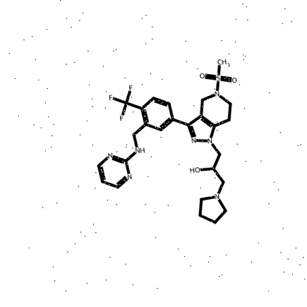 CS(=O)(=O)N1CCc2c(c(-c3ccc(C(F)(F)F)c(CNc4ncccn4)c3)nn2CC(O)CN2CCCC2)C1